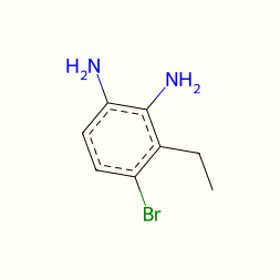 CCc1c(Br)ccc(N)c1N